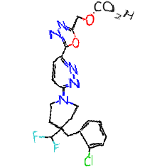 O=C(O)OCc1nnc(-c2ccc(N3CCC(Cc4ccccc4Cl)(C(F)F)CC3)nn2)o1